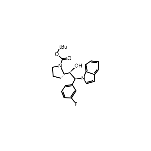 CC(C)(C)OC(=O)N1CCC[C@H]1[C@@H](O)[C@H](c1cccc(F)c1)n1ccc2ccccc21